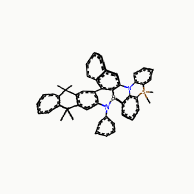 CC1(C)c2ccccc2C(C)(C)c2cc3c(cc21)-c1c2c(cc4ccccc14)N1c4ccccc4S(C)(C)c4cccc(c41)B2N3c1ccccc1